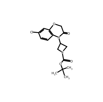 CC(C)(C)OC(=O)N1CC(N2C(=O)COc3cc(Cl)ccc32)C1